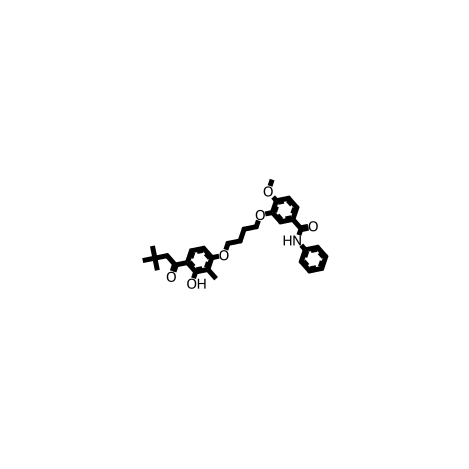 COc1ccc(C(=O)Nc2ccccc2)cc1OCCCCOc1ccc(C(=O)CC(C)(C)C)c(O)c1C